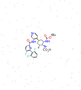 C[C@H]1C[C@@H](c2ccncc2NC(=O)c2ccc(F)c(-c3c(F)cccc3F)n2)C[C@@H](NC(=O)OC(C)(C)C)[C@H]1N(C)C(=O)O